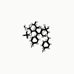 COC(=O)C(OC(C)(C)C)c1c(C(C)C)nc2c(c1-c1ccc(F)cc1)CN(Cc1ccc(F)cc1)CC2(C)C